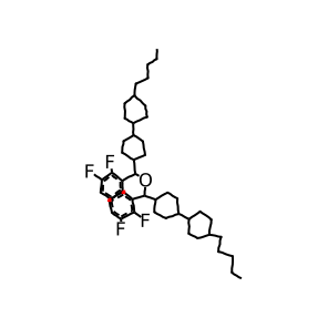 CCCCCC1CCC(C2CCC(C(OC(c3cccc(F)c3F)C3CCC(C4CCC(CCCCC)CC4)CC3)c3cccc(F)c3F)CC2)CC1